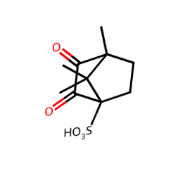 CC12CCC(S(=O)(=O)O)(C(=O)C1=O)C2(C)C